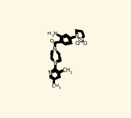 Cc1cnc(N2CCN(C(=O)c3ccc(N4CCCS4(=O)=O)cc3N)CC2)c(C)c1